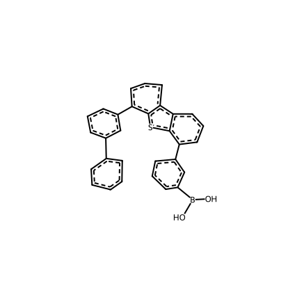 OB(O)c1cccc(-c2cccc3c2sc2c(-c4cccc(-c5ccccc5)c4)cccc23)c1